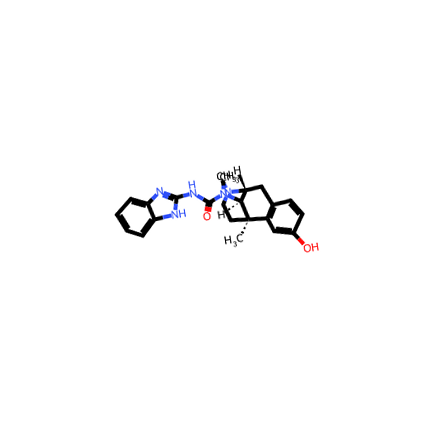 CN1CC[C@]2(C)c3cc(O)ccc3C[C@@H]1[C@@H]2N(C)C(=O)Nc1nc2ccccc2[nH]1